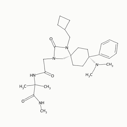 CNC(=O)C(C)(C)NC(=O)CN1C[C@]2(CC[C@@](c3ccccc3)(N(C)C)CC2)N(CC2CCC2)C1=O